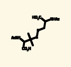 CC(=O)NC(CSSC(C)(C)C(NC(C)=O)C(=O)O)C(=O)O